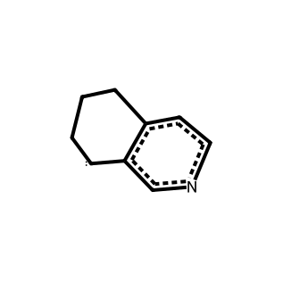 [C]1CCCc2ccncc21